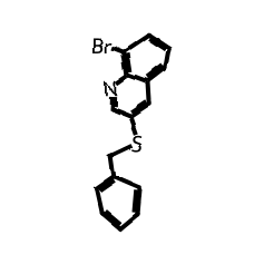 Brc1cccc2cc(SCc3ccccc3)cnc12